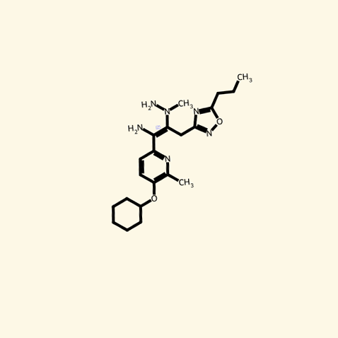 CCCc1nc(C/C(=C(/N)c2ccc(OC3CCCCC3)c(C)n2)N(C)N)no1